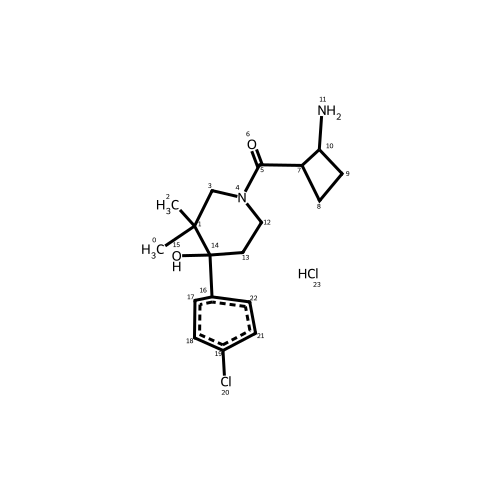 CC1(C)CN(C(=O)C2CCC2N)CCC1(O)c1ccc(Cl)cc1.Cl